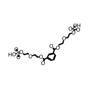 O=C(OCCOCCOS(=O)(=O)O)c1cccc(C(=O)OCCOCCOS(=O)(=O)O)c1